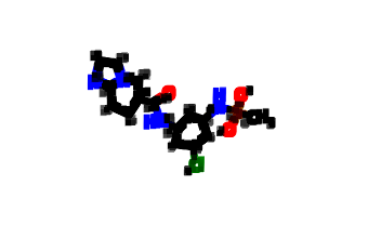 CS(=O)(=O)Nc1cc(Cl)cc(NC(=O)c2ccc3nccn3c2)c1